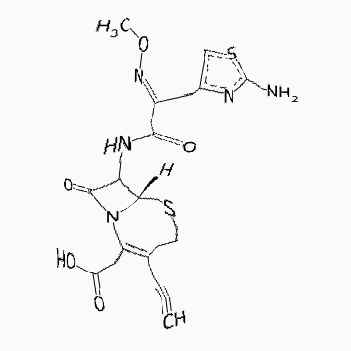 C#CC1=C(C(=O)O)N2C(=O)C(NC(=O)C(=NOC)c3csc(N)n3)[C@@H]2SC1